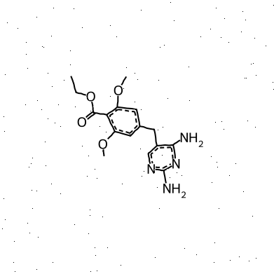 CCOC(=O)c1c(OC)cc(Cc2cnc(N)nc2N)cc1OC